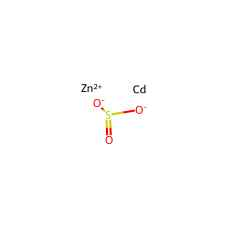 O=S([O-])[O-].[Cd].[Zn+2]